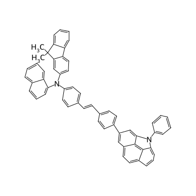 CC1(C)c2ccccc2-c2ccc(N(c3ccc(/C=C/c4ccc(-c5cc6ccc7cccc8c7c6c(c5)n8-c5ccccc5)cc4)cc3)c3cccc4ccccc34)cc21